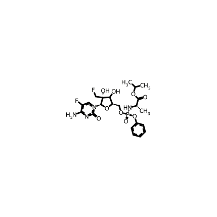 CC(C)OC(=O)[C@H](C)N[P@](=O)(OC[C@H]1O[C@@H](n2cc(F)c(N)nc2=O)[C@@](O)(CF)C1O)Oc1ccccc1